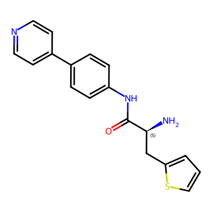 N[C@@H](Cc1cccs1)C(=O)Nc1ccc(-c2ccncc2)cc1